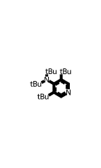 CC(C)(C)c1cncc(C(C)(C)C)c1N(C(C)(C)C)C(C)(C)C